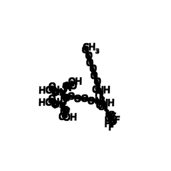 COCCOCCOCCOCCOCCOCCC(=O)NCCCCC(NC(=O)CCCCC(=O)Oc1c(F)c(F)cc(F)c1F)C(=O)NCCOCCOCCOCCOc1cc(CN(Cc2cccc(C(=O)O)n2)Cc2cccc(C(=O)O)n2)nc(CN(Cc2cccc(C(=O)O)n2)Cc2cccc(C(=O)O)n2)c1